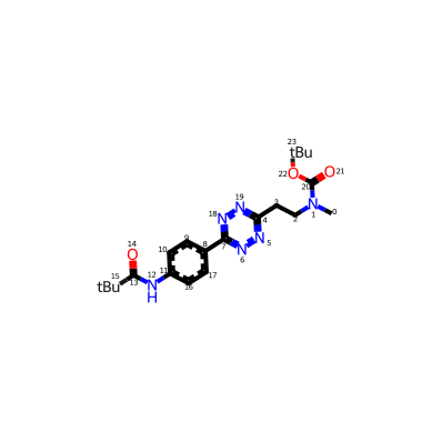 CN(CCc1nnc(-c2ccc(NC(=O)C(C)(C)C)cc2)nn1)C(=O)OC(C)(C)C